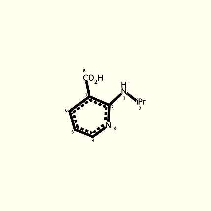 CC(C)Nc1ncccc1C(=O)O